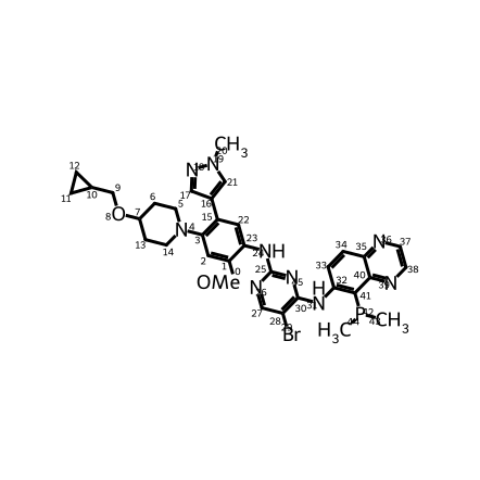 COc1cc(N2CCC(OCC3CC3)CC2)c(-c2cnn(C)c2)cc1Nc1ncc(Br)c(Nc2ccc3nccnc3c2P(C)C)n1